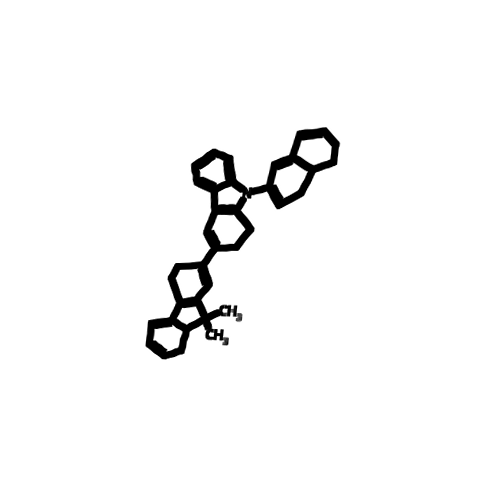 CC1(C)C2=C(CCC(C3=Cc4c(n(C5=CCC6CCC=CC6=C5)c5ccccc45)CC3)=C2)C2=CC=CCC21